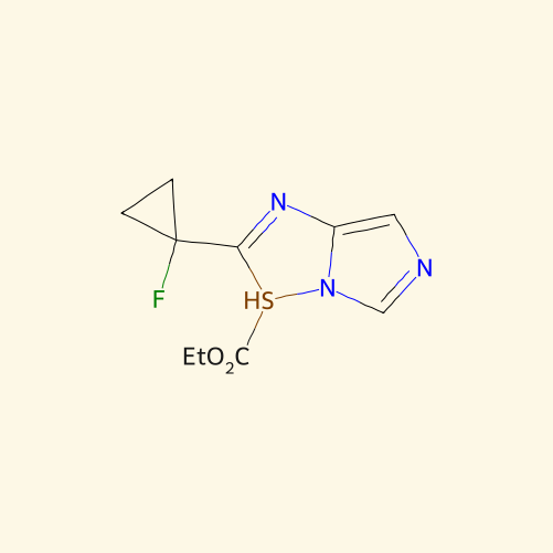 CCOC(=O)[SH]1C(C2(F)CC2)=Nc2cncn21